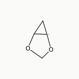 C1O[C]2CC2O1